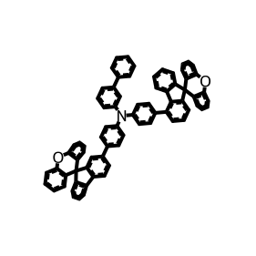 c1ccc(-c2cccc(N(c3ccc(-c4ccc5c(c4)C4(c6ccccc6Oc6ccccc64)c4ccccc4-5)cc3)c3ccc(-c4cccc5c4-c4ccccc4C54c5ccccc5Oc5ccccc54)cc3)c2)cc1